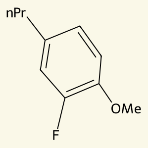 C[CH]Cc1ccc(OC)c(F)c1